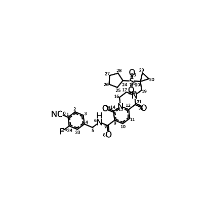 N#Cc1ccc(CNC(=O)c2ccc3n(c2=O)CCN(CC2(S(=O)(=O)C4CCCC4)CC2)C3=O)cc1F